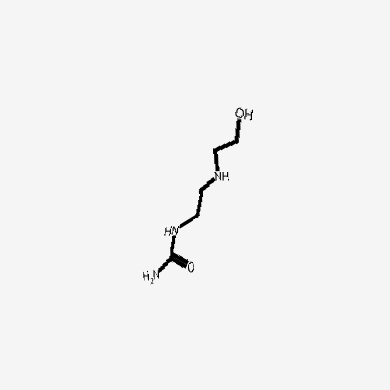 NC(=O)NCCNCCO